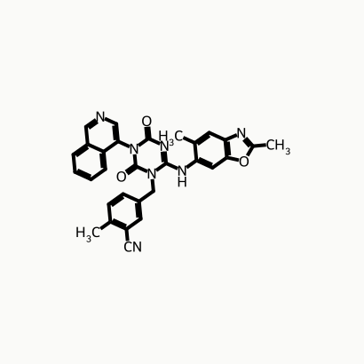 Cc1nc2cc(C)c(Nc3nc(=O)n(-c4cncc5ccccc45)c(=O)n3Cc3ccc(C)c(C#N)c3)cc2o1